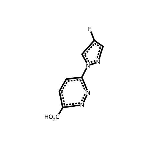 O=C(O)c1ccc(-n2cc(F)cn2)nn1